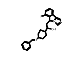 OC(CC1c2c(F)cccc2-c2cncn21)C1CCC(OCc2ccccc2)CC1